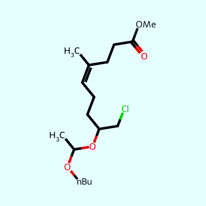 CCCCOC(C)OC(CCl)CCC=C(C)CCC(=O)OC